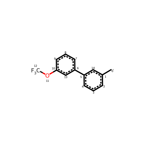 [CH2]c1cccc(-c2cccc(OC(F)(F)F)c2)c1